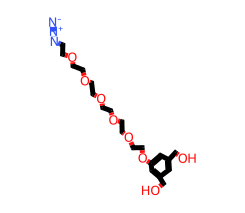 [N-]=[N+]=NCCOCCOCCOCCOCCOCCOc1cc(CO)cc(CO)c1